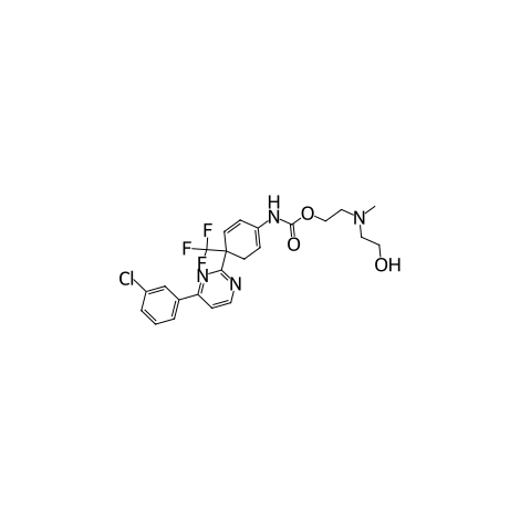 CN(CCO)CCOC(=O)NC1=CCC(c2nccc(-c3cccc(Cl)c3)n2)(C(F)(F)F)C=C1